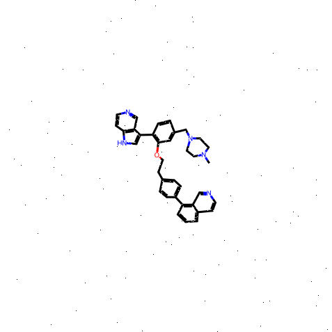 CN1CCN(Cc2ccc(-c3c[nH]c4ccncc34)c(OCCc3ccc(-c4cccc5ccncc45)cc3)c2)CC1